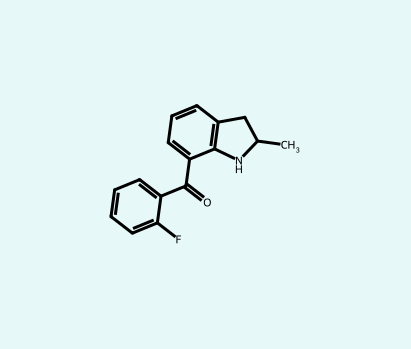 CC1Cc2cccc(C(=O)c3ccccc3F)c2N1